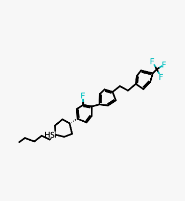 CCCCC[Si@H]1CC[C@H](c2ccc(-c3ccc(CCc4ccc(C(F)(F)F)cc4)cc3)c(F)c2)CC1